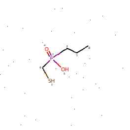 CCCP(=O)(O)CS